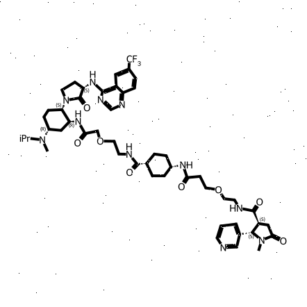 CC(C)N(C)[C@@H]1CC[C@H](N2CC[C@H](Nc3ncnc4ccc(C(F)(F)F)cc34)C2=O)[C@H](NC(=O)COCCNC(=O)[C@H]2CC[C@@H](NC(=O)CCOCCNC(=O)[C@H]3CC(=O)N(C)[C@@H]3c3cccnc3)CC2)C1